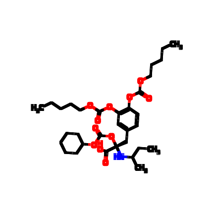 CCCCCOC(=O)Oc1ccc(C[C@](NC(C)CC)(OC(=O)OC2CCCCC2)C(=O)O)cc1OC(=O)OCCCCC